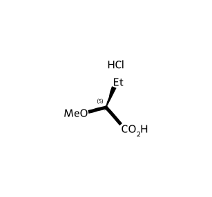 CC[C@H](OC)C(=O)O.Cl